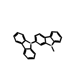 Cn1c2ccccc2c2ccc(-n3c4ccccc4c4ccccc43)cc21